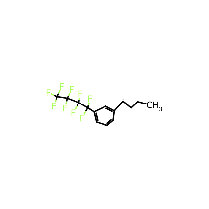 CCC[CH]c1cccc(C(F)(F)C(F)(F)C(F)(F)C(F)(F)F)c1